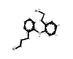 BrCCCc1ccccc1Oc1ccccc1CCBr